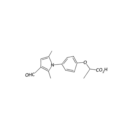 Cc1cc(C=O)c(C)n1-c1ccc(OC(C)C(=O)O)cc1